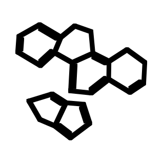 C1=CC2=CCCC2=C1.C1=Cc2ccc3c(c2CC1)CCc1ccccc1-3